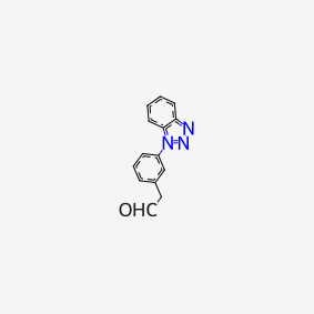 O=CCc1cccc(-n2nnc3ccccc32)c1